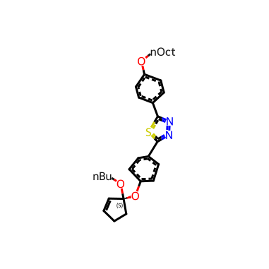 CCCCCCCCOc1ccc(-c2nnc(-c3ccc(O[C@]4(OCCCC)C=CCC4)cc3)s2)cc1